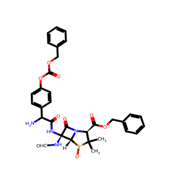 CC1(C)[C@H](C(=O)OCc2ccccc2)N2C(=O)[C@@](NC=O)(NC(=O)C(N)c3ccc(OC(=O)OCc4ccccc4)cc3)[C@H]2[S+]1[O-]